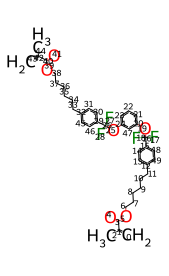 C=C(C)C(=O)OCCCCCCc1ccc(C(F)(F)Oc2cccc(OC(F)(F)c3ccc(CCCCCCOC(=O)C(=C)C)cc3)c2)cc1